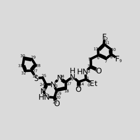 CCC(NC(=O)Cc1cc(F)cc(F)c1)C(=O)Nc1cc2c(=O)[nH]nc(CSc3ccccc3)n2n1